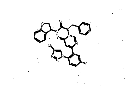 O=C(NC1COc2ccccc21)[C@H](Cc1ccccc1)n1cnc(-c2cc(Cl)ccc2-n2cc(Cl)nn2)cc1=O